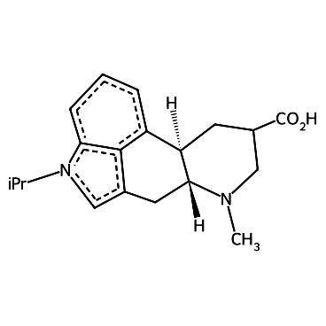 CC(C)n1cc2c3c(cccc31)[C@H]1CC(C(=O)O)CN(C)[C@@H]1C2